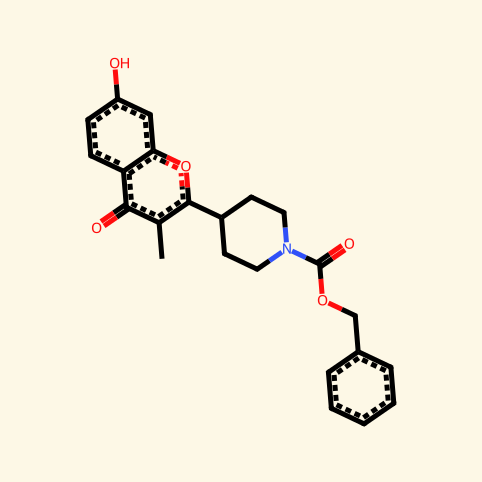 Cc1c(C2CCN(C(=O)OCc3ccccc3)CC2)oc2cc(O)ccc2c1=O